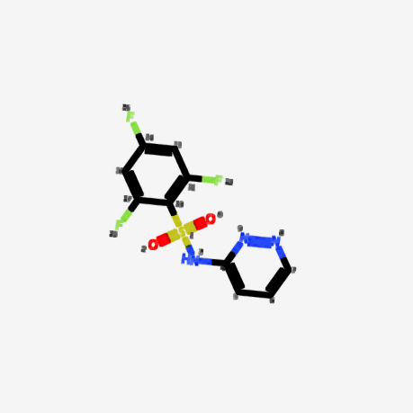 O=S(=O)(Nc1cccnn1)c1c(F)cc(F)cc1F